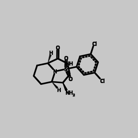 N[C@@H]1CNC(=O)[C@@H]2CCC[C@H]1N2S(=O)(=O)c1cc(Cl)cc(Cl)c1